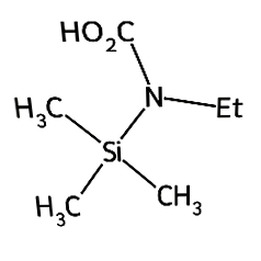 CCN(C(=O)O)[Si](C)(C)C